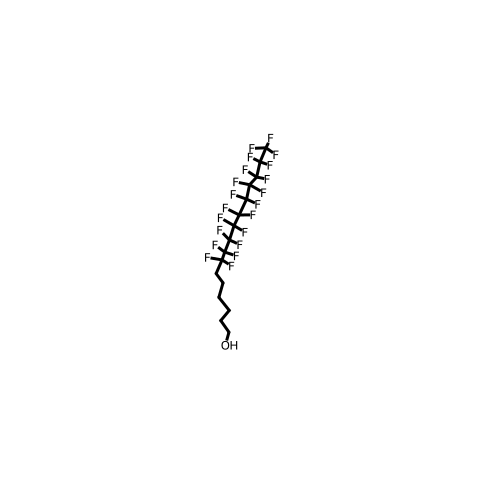 OCCCCCCC(F)(F)C(F)(F)C(F)(F)C(F)(F)C(F)(F)C(F)(F)C(F)(F)C(F)(F)C(F)(F)C(F)(F)F